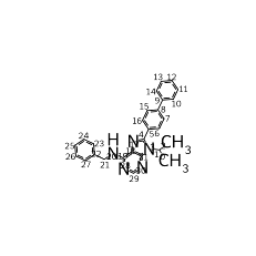 CC(C)n1c(-c2ccc(-c3ccccc3)cc2)nc2c(NCc3ccccc3)ncnc21